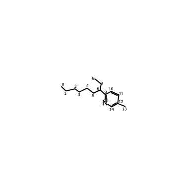 CCCCCCC(CC)c1ccc(C)cn1